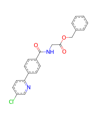 O=C(CNC(=O)c1ccc(-c2ccc(Cl)cn2)cc1)OCc1ccccc1